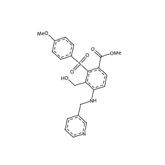 COC(=O)c1ccc(NCc2cccnc2)c(CO)c1S(=O)(=O)c1ccc(OC)cc1